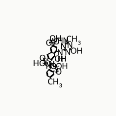 CNc1nc(O)nc(Nc2cc(S(=O)(=O)O)cc3cc(S(=O)(=O)O)c(N=Nc4ccc(C)cc4S(=O)(=O)O)c(O)c23)n1